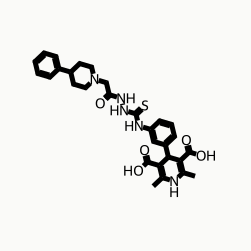 CC1=C(C(=O)O)C(c2cccc(NC(=S)NNC(=O)CN3CCC(c4ccccc4)CC3)c2)C(C(=O)O)=C(C)N1